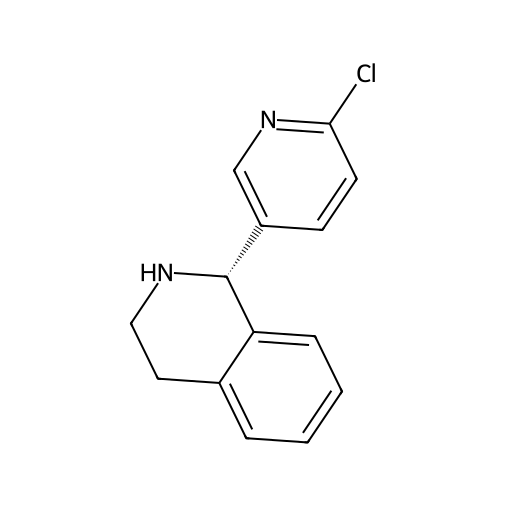 Clc1ccc([C@H]2NCCc3ccccc32)cn1